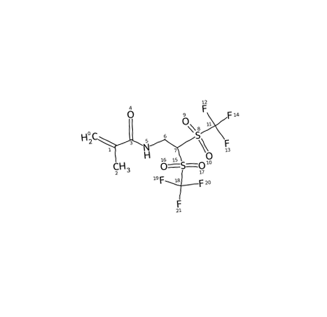 C=C(C)C(=O)NCC(S(=O)(=O)C(F)(F)F)S(=O)(=O)C(F)(F)F